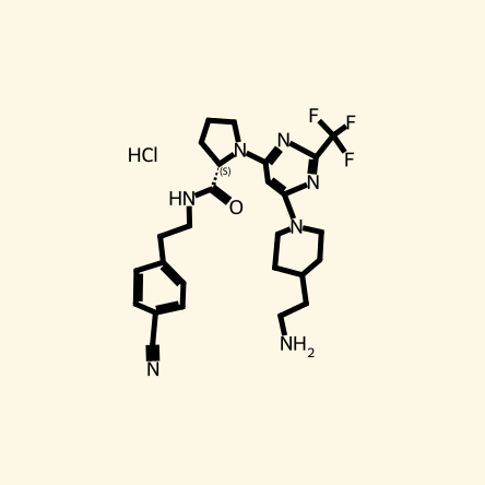 Cl.N#Cc1ccc(CCNC(=O)[C@@H]2CCCN2c2cc(N3CCC(CCN)CC3)nc(C(F)(F)F)n2)cc1